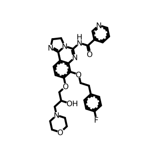 O=C(NC1=Nc2c(ccc(OCC(O)CN3CCOCC3)c2OCCc2ccc(F)cc2)C2=NCCN12)c1cccnc1